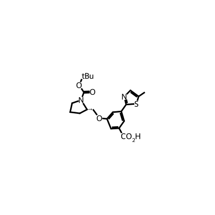 Cc1cnc(-c2cc(OC[C@@H]3CCCN3C(=O)OC(C)(C)C)cc(C(=O)O)c2)s1